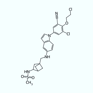 CS(=O)(=O)NC1CC2(CNc3ccc4c(ccn4-c4cc(Cl)c(OCCCl)c(C#N)c4)c3)CC1C2